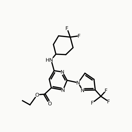 CCOC(=O)c1cc(NC2CCC(F)(F)CC2)nc(-n2ccc(C(F)(F)F)n2)n1